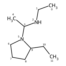 CCNC(C)N1CCCC1CC